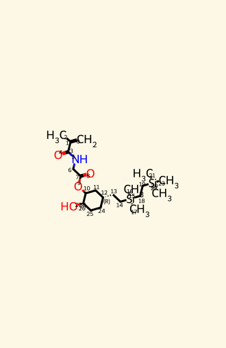 C=C(C)C(=O)NCC(=O)OC1C[C@H](CC[Si](C)(C)CC[Si](C)(C)C)CC[C@H]1O